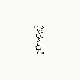 Cc1cc(OS(=O)(=O)C(F)(F)F)cc(=O)n1CCc1ccc(C=O)cc1